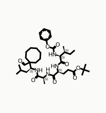 CC[C@H](C)[C@H](NC(=O)Oc1ccccc1)C(=O)N[C@@H](CCC(=O)OC(C)(C)C)C(=O)N[C@@H](C)C(=O)N[C@@H](CC(C)C)C1(C=O)CCCCCCC1